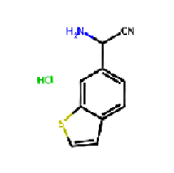 Cl.N#CC(N)c1ccc2ccsc2c1